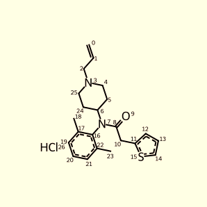 C=CCN1CCC(N(C(=O)Cc2cccs2)c2c(C)cccc2C)CC1.Cl